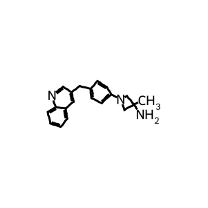 CC1(N)CN(c2ccc(Cc3cnc4ccccc4c3)cc2)C1